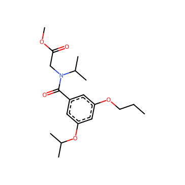 CCCOc1cc(OC(C)C)cc(C(=O)N(CC(=O)OC)C(C)C)c1